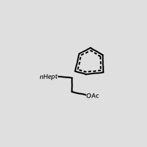 CCCCCCCCCOC(C)=O.c1ccccc1